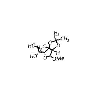 CO[C@H]1O[C@H]([C@H](O)CO)[C@]2(C)OC(C)(C)O[C@H]12